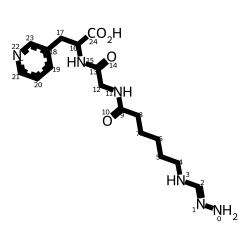 NN=CNCCCCCC(=O)NCC(=O)NC(Cc1cccnc1)C(=O)O